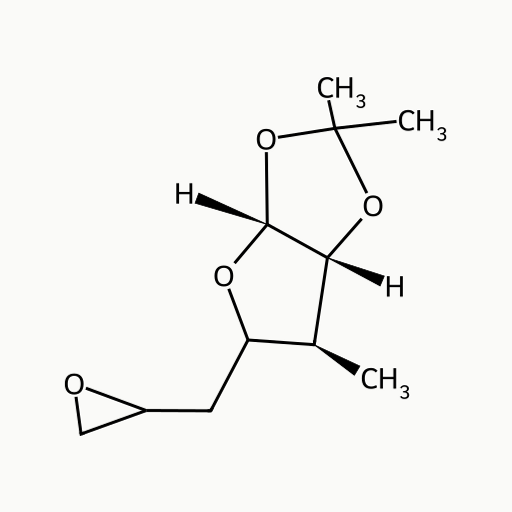 C[C@H]1C(CC2CO2)O[C@@H]2OC(C)(C)O[C@@H]21